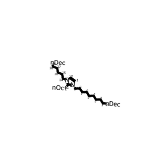 CCCCCCCCCCCCCCCCCCCN1C=CN(CCCCCCCCCCCCCCC)C1CCCCCCCC